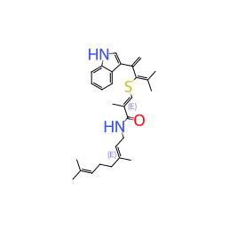 C=C(C(S/C=C(\C)C(=O)NC/C=C(\C)CCC=C(C)C)=C(C)C)c1c[nH]c2ccccc12